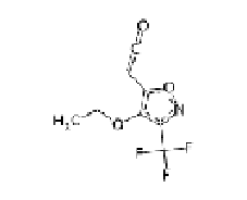 CCOc1c(C(F)(F)F)noc1C=C=O